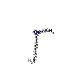 CCCCCCCCCCCCCCCCCCc1cccc[n+]1CCCCCCC